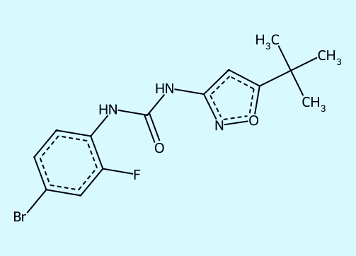 CC(C)(C)c1cc(NC(=O)Nc2ccc(Br)cc2F)no1